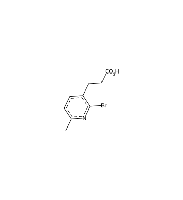 Cc1ccc(CCC(=O)O)c(Br)n1